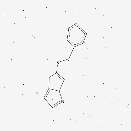 C1=NC2C=C(SCc3ccccc3)CC2=C1